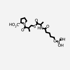 CC(CSC(=O)C(C)NC(=O)CCCCON(O)O)C(=O)N1CCC[C@H]1C(=O)O